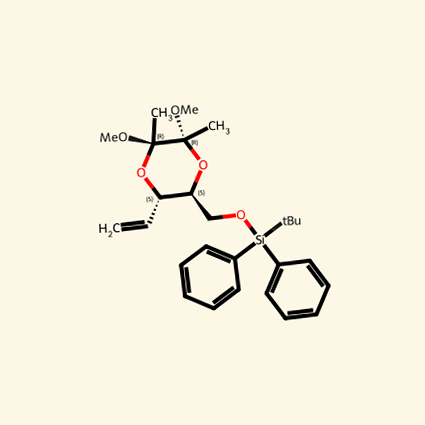 C=C[C@@H]1O[C@@](C)(OC)[C@](C)(OC)O[C@H]1CO[Si](c1ccccc1)(c1ccccc1)C(C)(C)C